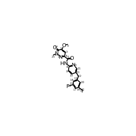 COc1cc(C(=O)Nc2ccc(Cc3cc(F)cc(F)c3)cn2)nn(C)c1=O